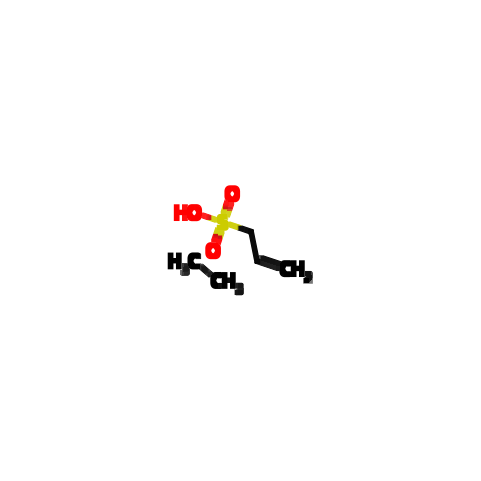 C=CCS(=O)(=O)O.CC